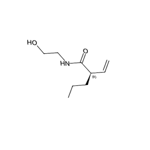 C=C[C@@H](CCC)C(=O)NCCO